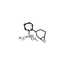 C[SiH](C)c1ccccc1C1CCC2OC2C1